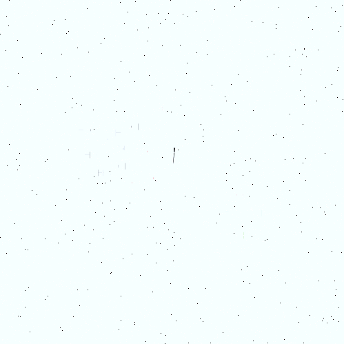 COCO[C@@H](C[C@H](O[Si](C)(C)C(C)(C)C)C1CO1)c1ccc(OC(F)(F)F)cc1